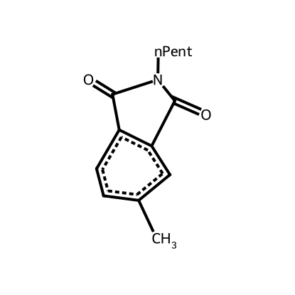 CCCCCN1C(=O)c2ccc(C)cc2C1=O